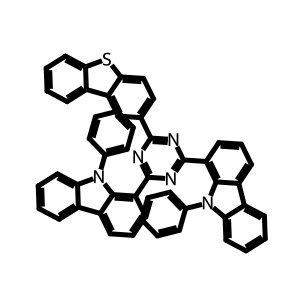 c1ccc(-n2c3ccccc3c3cccc(-c4nc(-c5ccc6sc7ccccc7c6c5)nc(-c5cccc6c7ccccc7n(-c7ccccc7)c56)n4)c32)cc1